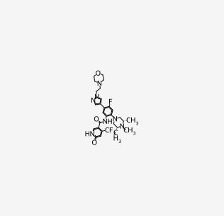 C[C@@H]1CN(c2cc(F)c(-c3cnn(CCN4CCOCC4)c3)cc2NC(=O)c2c[nH]c(=O)cc2C(F)(F)F)C[C@H](C)N1C